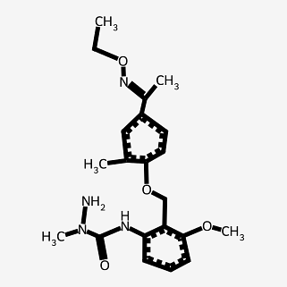 CCON=C(C)c1ccc(OCc2c(NC(=O)N(C)N)cccc2OC)c(C)c1